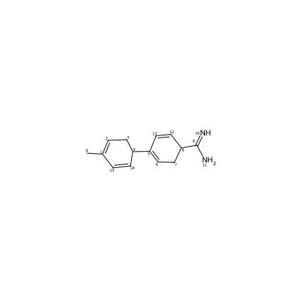 CC1=CCC(C2=CCC(C(=N)N)C=C2)C=C1